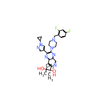 CC(C)(O)[C@](C)(O)c1cc2nc(-c3cnn(C4CC4)c3)c(N3CCN(Cc4ccc(F)cc4F)CC3)nc2cn1